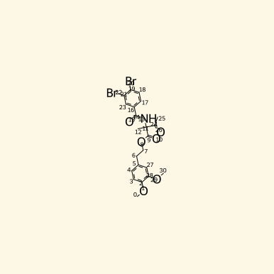 COc1ccc(CCOC(=O)C(C)(NC(=O)c2ccc(Br)c(Br)c2)C(C)=O)cc1OC